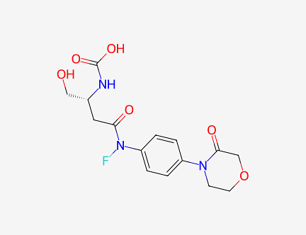 O=C(O)N[C@@H](CO)CC(=O)N(F)c1ccc(N2CCOCC2=O)cc1